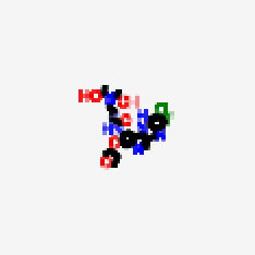 CC(O)N(C/C=C/C(=O)Nc1cc2c(Nc3ccc(F)c(Cl)c3)c(C#N)cnc2cc1OC1CCOC1)C(C)O